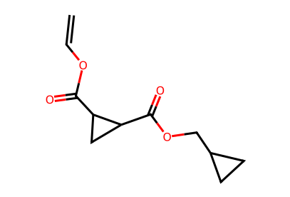 C=COC(=O)C1CC1C(=O)OCC1CC1